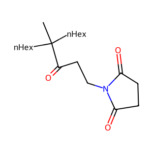 CCCCCCC(C)(CCCCCC)C(=O)CCN1C(=O)CCC1=O